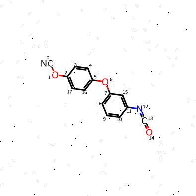 N#COc1ccc(Oc2cccc(N=C=O)c2)cc1